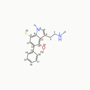 CNCCc1cn(C)c2c(F)cc(-c3ccccc3)c(OC)c12